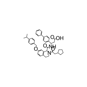 CC(C)c1ccc(COc2ccc3c(c2)C(C(=O)NC(CC(=O)O)c2ccc(-c4ccccc4)cc2)N(C(=O)CC2CCCC2)CC3)cc1